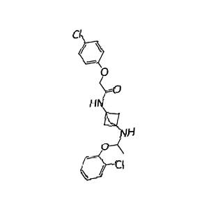 CC(NC12CC(NC(=O)COc3ccc(Cl)cc3)(C1)C2)Oc1ccccc1Cl